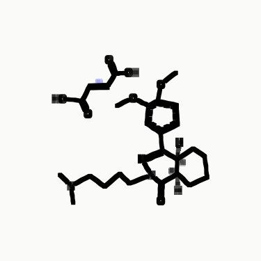 COc1ccc(C2=NN(CCCCN(C)C)C(=O)[C@@H]3CCCC[C@H]23)cc1OC.O=C(O)/C=C/C(=O)O